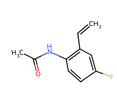 C=Cc1cc(F)ccc1NC(C)=O